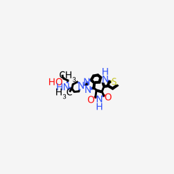 CC(O)CNC1(C)CCN(c2nc(C3=C(c4c[nH]c5sccc45)C(=O)NC3=O)c3ccccc3n2)CC1